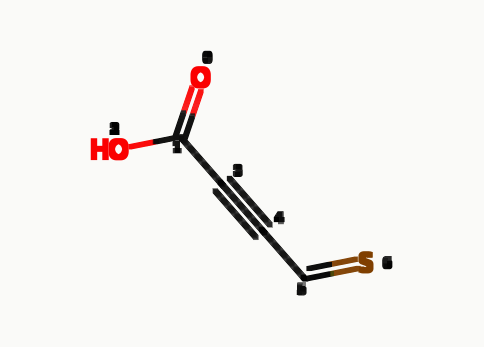 O=C(O)C#CC=S